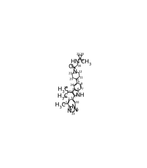 Cc1cc(-c2[nH]c3ccc(C4CCN(C(=O)CNC5(C)CC5)CC4)cc3c2C(C)C)cn2ncnc12